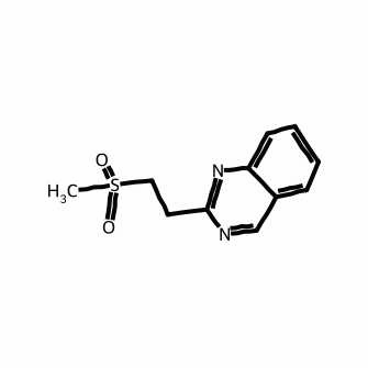 CS(=O)(=O)CCc1ncc2ccccc2n1